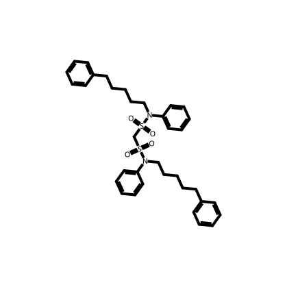 O=S(=O)(CS(=O)(=O)N(CCCCCc1ccccc1)c1ccccc1)N(CCCCCc1ccccc1)c1ccccc1